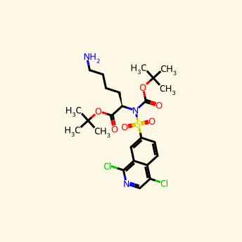 CC(C)(C)OC(=O)[C@@H](CCCCN)N(C(=O)OC(C)(C)C)S(=O)(=O)c1ccc2c(Cl)cnc(Cl)c2c1